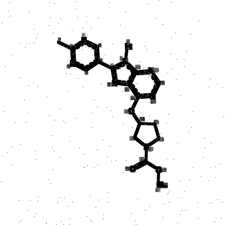 CCn1c(-c2cnc(C)nc2)nc2c(OC3CCN(C(=O)OC(C)(C)C)C3)ncnc21